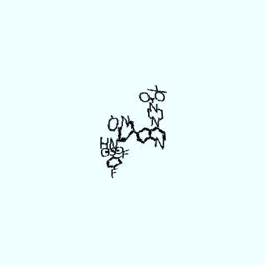 COc1ncc(-c2ccc3nccc(N4CCN(C(=O)OC(C)(C)C)CC4)c3c2)cc1NS(=O)(=O)c1ccc(F)cc1F